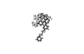 Cc1ncc(-c2ccc(OCCOc3ccccc3)cn2)c(N2CCC(C)(C)CC2)c1[C@H](OC(C)(C)C)C(=O)O